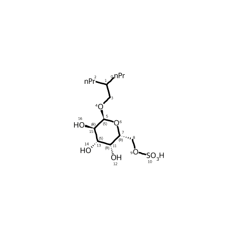 CCCC(CCC)CO[C@H]1O[C@H](COS(=O)(=O)O)[C@H](O)[C@H](O)[C@H]1O